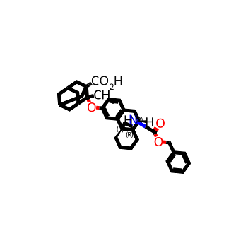 CC1(Oc2ccc3c(c2)[C@@]24CCCC[C@H]2[C@@H](C3)N(C(=O)OCc2ccccc2)CC4)C2CC3CC(C2)CC1(C(=O)O)C3